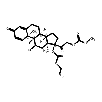 CCOC(=O)O[C@]1(C(=O)COC(=O)OC)CC[C@H]2[C@@H]3CCC4=CC(=O)C=C[C@]4(C)[C@H]3C(O)C[C@@]21C